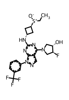 CC[S+]([O-])[C@H]1C[C@H](Nc2nc(N3C[C@H](O)[C@@H](F)C3)c3cnn(-c4cccc(C(F)(F)F)c4)c3n2)C1